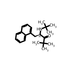 CC(C)(C)N[C@H](Cc1cccc2ccccc12)C(=O)C(C)(C)C